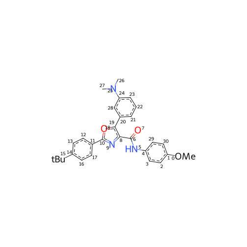 COc1ccc(NC(=O)c2nc(-c3ccc(C(C)(C)C)cc3)oc2-c2cccc(N(C)C)c2)cc1